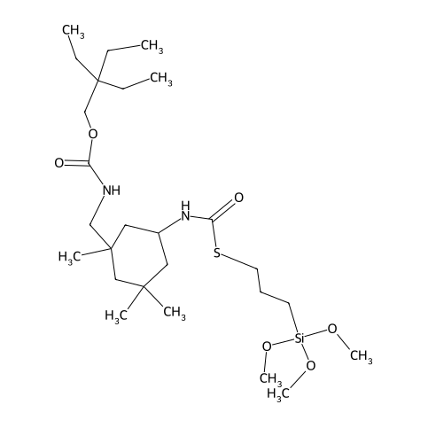 CCC(CC)(CC)COC(=O)NCC1(C)CC(NC(=O)SCCC[Si](OC)(OC)OC)CC(C)(C)C1